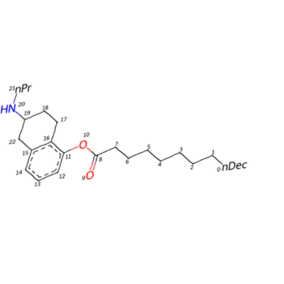 CCCCCCCCCCCCCCCCCC(=O)Oc1cccc2c1CCC(NCCC)C2